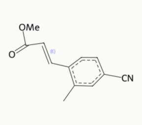 COC(=O)/C=C/c1ccc(C#N)cc1C